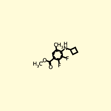 COC(=O)c1cc(C)c(NC2CCC2)c(F)c1F